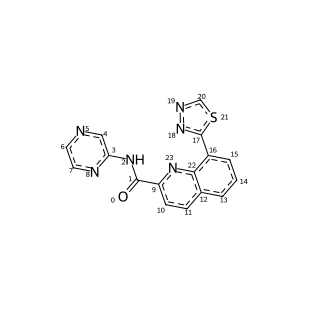 O=C(Nc1cnccn1)c1ccc2cccc(-c3nncs3)c2n1